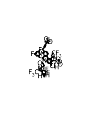 CC(C)(C#CCc1ccc(-c2ccc(Cl)c3c(NS(C)(=O)=O)nn(CC(F)(F)F)c23)c([C@H](Cc2cc(F)cc(F)c2)NC(=O)Cn2nc(C(F)(F)F)c3c2C(F)(F)[C@@H]2C[C@H]32)n1)S(C)(=O)=O